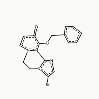 O=c1ccn2c(c1OCc1ccccc1)-c1ncc(Br)n1CC2